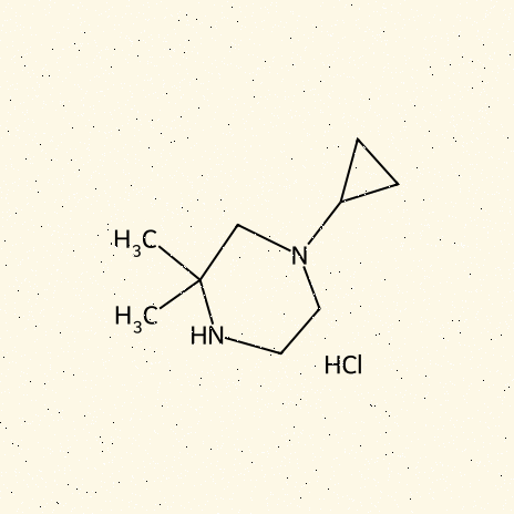 CC1(C)CN(C2CC2)CCN1.Cl